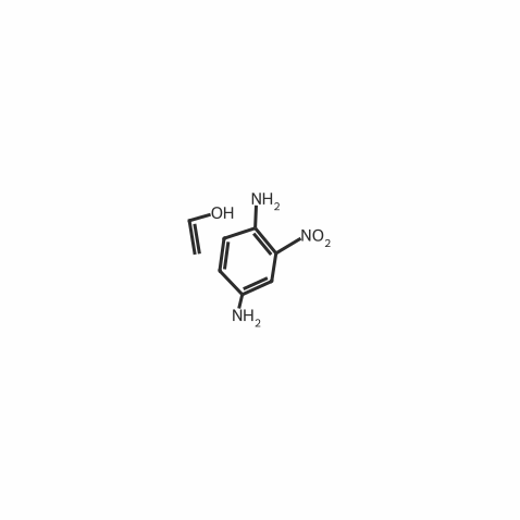 C=CO.Nc1ccc(N)c([N+](=O)[O-])c1